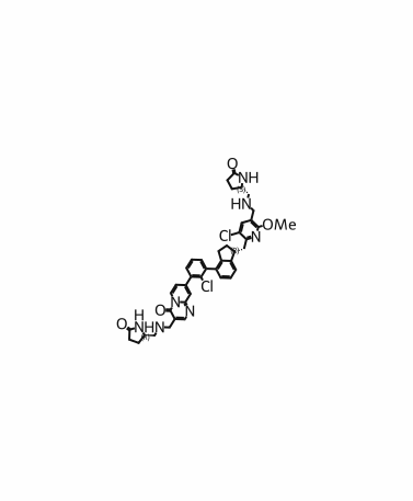 COc1nc(C[C@H]2CCc3c(-c4cccc(-c5ccn6c(=O)c(CNC[C@H]7CCC(=O)N7)cnc6c5)c4Cl)cccc32)c(Cl)cc1CNC[C@@H]1CCC(=O)N1